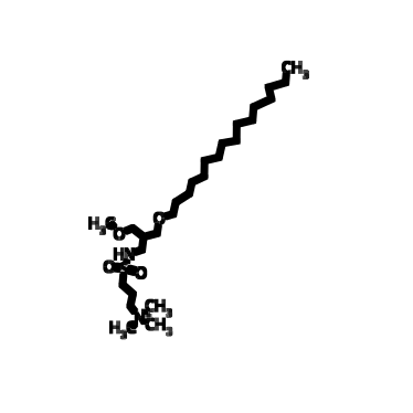 CCCCCCCCCCCCCCCCOCC(CNS(=O)(=O)CCC[N+](C)(C)C)COC